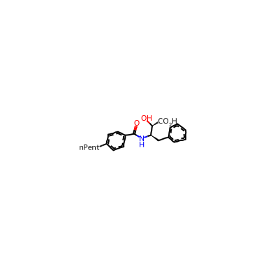 CCCCCc1ccc(C(=O)N[C@H](Cc2ccccc2)[C@@H](O)C(=O)O)cc1